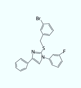 Fc1cccc(-n2cc(-c3ccccc3)nc2SCc2cccc(Br)c2)c1